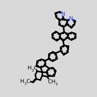 CC=C1CC(C)C2(c3ccccc3-c3c(-c4ccc(-c5cccc(-c6c7ccccc7c(-c7cc8cccnc8c8ncccc78)c7ccccc67)c5)cc4)cccc32)C(CC)C1